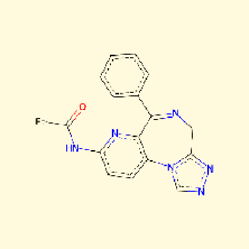 CCC(=O)Nc1ccc2c(n1)C(c1ccccc1)=NCc1nncn1-2